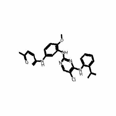 C=C(/C=C\C(C)=O)Nc1ccc(OC)c(Nc2ncc(Cl)c(Nc3ccccc3C(C)C)n2)c1